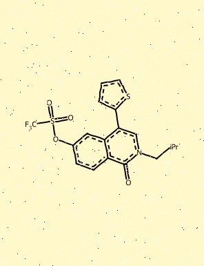 CC(C)Cn1[c]c(-c2cccs2)c2cc(OS(=O)(=O)C(F)(F)F)ccc2c1=O